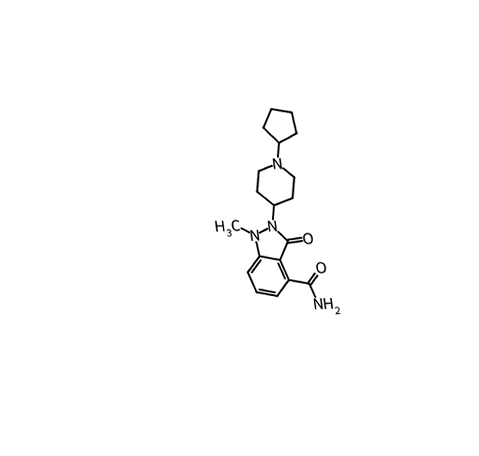 Cn1c2cccc(C(N)=O)c2c(=O)n1C1CCN(C2CCCC2)CC1